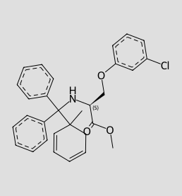 COC(=O)[C@H](COc1cccc(Cl)c1)NC(c1ccccc1)(c1ccccc1)C1(C)C=CC=CC1